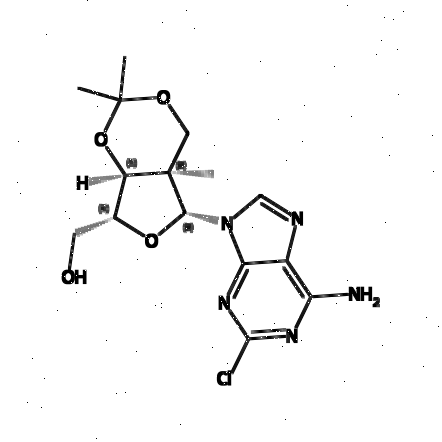 CC1(C)OC[C@]2(C)[C@H](O1)[C@@H](CO)O[C@H]2n1cnc2c(N)nc(Cl)nc21